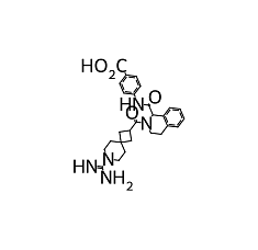 N=C(N)N1CCC2(CC1)CC(C(=O)N1CCc3ccccc3C1C(=O)Nc1ccc(C(=O)O)cc1)C2